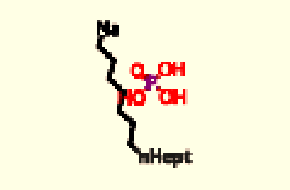 CCCCCCCCCCCCC[CH2][Na].O=P(O)(O)O